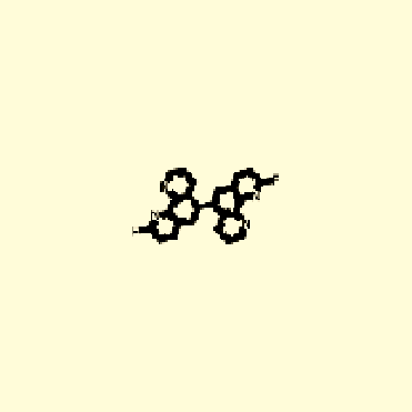 Fc1ccc2cc(-c3cc4ccc(F)nc4c4ncccc34)c3cccnc3c2n1